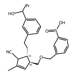 CC1=C[C@H](COCc2cccc(S(=O)O)c2)[C@@H](CCc2cccc(C(O)C(C)C)c2)C1C#N